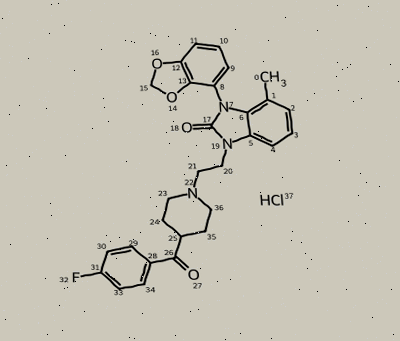 Cc1cccc2c1n(-c1cccc3c1OCO3)c(=O)n2CCN1CCC(C(=O)c2ccc(F)cc2)CC1.Cl